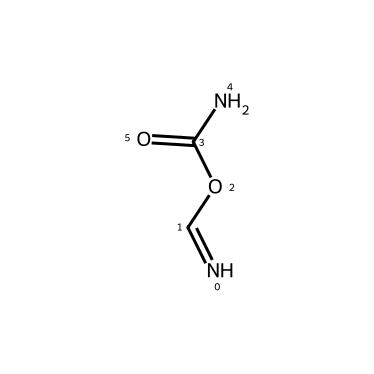 N=COC(N)=O